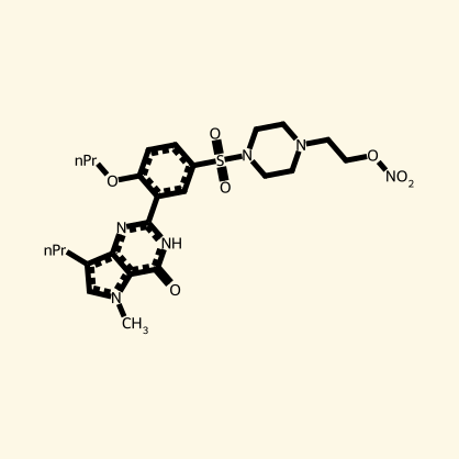 CCCOc1ccc(S(=O)(=O)N2CCN(CCO[N+](=O)[O-])CC2)cc1-c1nc2c(CCC)cn(C)c2c(=O)[nH]1